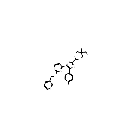 CC1(CN)COC(c2nc(-c3ccc(F)cc3)c(-c3ccnc(NCc4cccnc4)n3)[nH]2)OC1